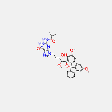 COc1ccc(C(OC[C@@H](OC)[C@@H](O)CCn2cnc3c(=O)[nH]c(NC(=O)C(C)C)nc32)(c2ccccc2)c2ccc(OC)cc2)cc1